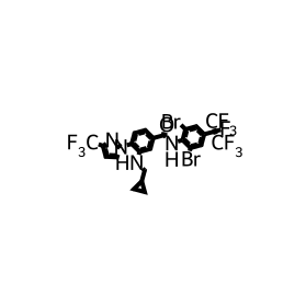 O=C(Nc1c(Br)cc(C(F)(C(F)(F)F)C(F)(F)F)cc1Br)c1ccc(-n2ccc(C(F)(F)F)n2)c(NCC2CC2)c1